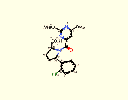 COc1cc(C(=O)N2[C@@H](c3ccccc3Cl)CC[C@H]2C(=O)O)nc(OC)n1